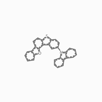 c1ccc2c(c1)oc1c2ccc2sc3ccc(-n4c5ccccc5c5ccccc54)cc3c21